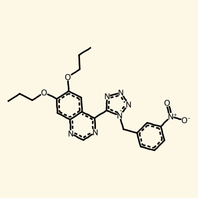 CCCOc1cc2ncnc(-c3nnnn3Cc3cccc([N+](=O)[O-])c3)c2cc1OCCC